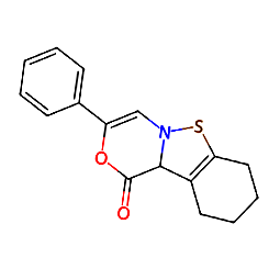 O=C1OC(c2ccccc2)=CN2SC3=C(CCCC3)C12